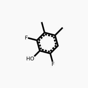 Cc1cc(F)c(O)c(F)c1C